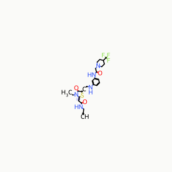 C#CCNC(=O)/C=c1\sc(=C=CNc2cccc(NC(=O)CN3CCC(C(F)(F)F)CC3)c2)c(=O)n1CC